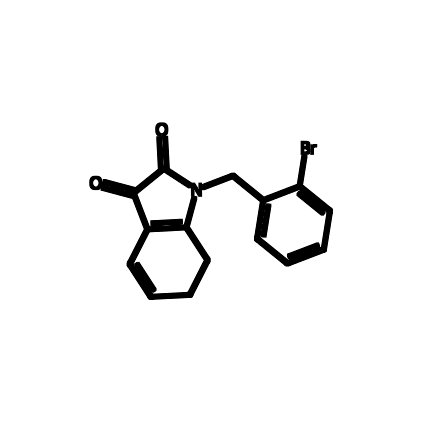 O=C1C(=O)N(Cc2ccccc2Br)C2=C1C=CCC2